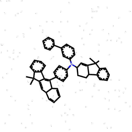 CC1(C)C2=CC3C=CC=CC3C(c3ccc(N(c4cccc(-c5ccccc5)c4)C4C=C5C(CC4)c4ccccc4C5(C)C)cc3)=C2c2ccccc21